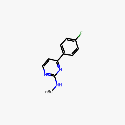 CCCCNc1nccc(-c2ccc(F)cc2)n1